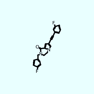 O=C1c2cc(C#Cc3cccc(F)c3)cn2CCN1Cc1ccc(F)cc1